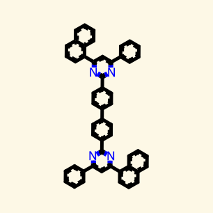 c1ccc(-c2cc(-c3cccc4ccccc34)nc(-c3ccc(-c4ccc(-c5nc(-c6ccccc6)cc(-c6cccc7ccccc67)n5)cc4)cc3)n2)cc1